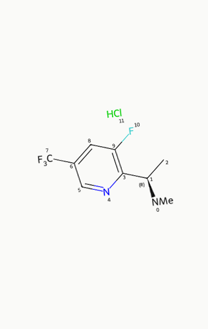 CN[C@H](C)c1ncc(C(F)(F)F)cc1F.Cl